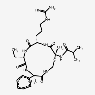 CC[C@@H]1NC(=O)[C@H](CCCNC(=N)N)NC(=O)[C@](C)(NC(=O)C(C)C)CCNC(=O)[C@@](C)(c2ccccc2)NC1=O